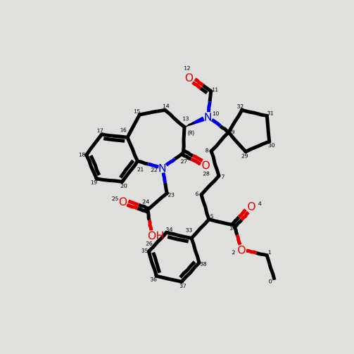 CCOC(=O)C(CCCC1(N(C=O)[C@@H]2CCc3ccccc3N(CC(=O)O)C2=O)CCCC1)c1ccccc1